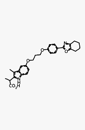 Cc1c(C(C)C(=O)O)[nH]c2ccc(OCCCOc3ccc(-c4nc5c(o4)CCCC5)cc3)cc12